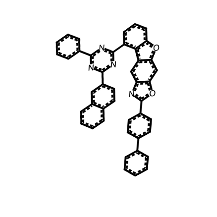 c1ccc(-c2ccc(-c3nc4cc5c(cc4o3)oc3cccc(-c4nc(-c6ccccc6)nc(-c6ccc7ccccc7c6)n4)c35)cc2)cc1